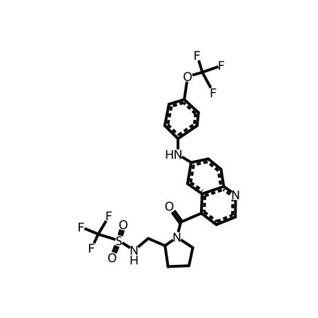 O=C(c1ccnc2ccc(Nc3ccc(OC(F)(F)F)cc3)cc12)N1CCCC1CNS(=O)(=O)C(F)(F)F